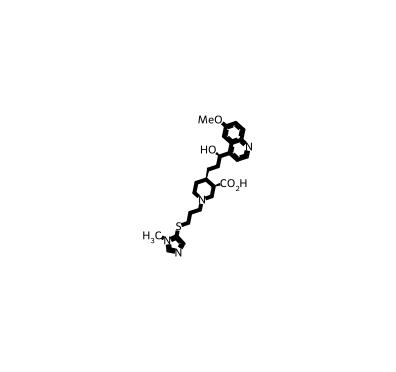 COc1ccc2nccc([C@H](O)CC[C@@H]3CCN(CCCSc4cncn4C)C[C@@H]3C(=O)O)c2c1